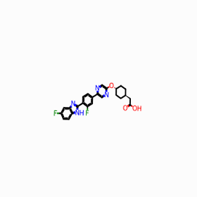 O=C(O)C[C@H]1CC[C@H](Oc2cnc(-c3ccc(-c4nc5cc(F)ccc5[nH]4)c(F)c3)cn2)CC1